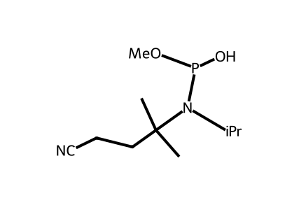 COP(O)N(C(C)C)C(C)(C)CCC#N